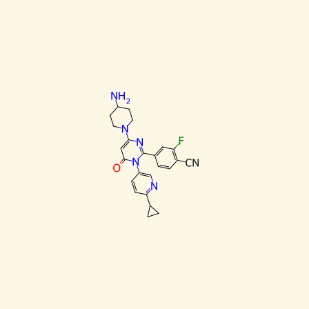 N#Cc1ccc(-c2nc(N3CCC(N)CC3)cc(=O)n2-c2ccc(C3CC3)nc2)cc1F